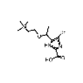 CC(OCC[Si](C)(C)C)c1[nH]c(C(=O)O)nc1Br